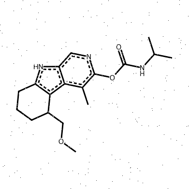 COCC1CCCc2[nH]c3cnc(OC(=O)NC(C)C)c(C)c3c21